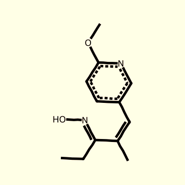 CCC(=NO)C(C)=Cc1ccc(OC)nc1